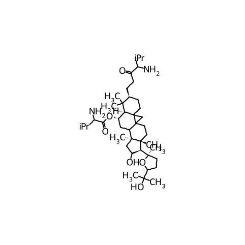 CC(C)C(N)C(=O)CC[C@H]1CCC23CC24CC[C@]2(C)[C@@H]([C@@]5(C)CCC(C(C)(C)O)O5)C(O)C[C@@]2(C)C4C[C@H](OC(=O)C(N)C(C)C)[C@H]3C1(C)C